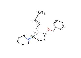 COC=CC[C@H]1[C@H](N2CCCCC2)CC[C@H]1OCc1ccccc1